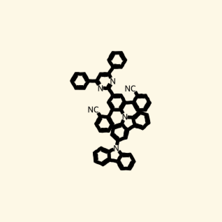 N#Cc1ccccc1-c1cc(-c2nc(-c3ccccc3)cc(-c3ccccc3)n2)cc(-c2ccccc2C#N)c1-n1c2ccccc2c2cc(-n3c4ccccc4c4ccccc43)ccc21